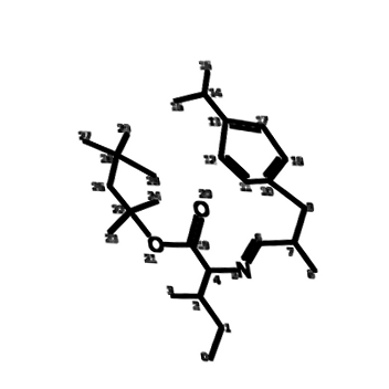 CCC(C)C(/N=C/C(C)Cc1ccc(C(C)C)cc1)C(=O)OC(C)(C)CC(C)(C)C